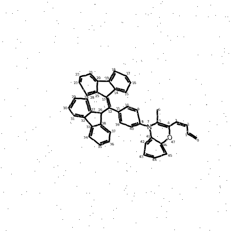 C=C/C=C\C1=C(C)N(c2ccc(C(=C3c4ccccc4-c4ccccc43)C3c4ccccc4-c4ccccc43)cc2)c2ccccc2O1